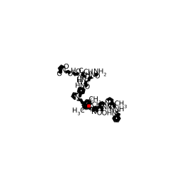 Cc1c(Nc2nc3ccccc3s2)nnc2c1CCCN2c1ccc(-c2cnn(CC34CC5(CCC[N+]6(Cc7ccc(NC(=O)[C@H](CCCNC(N)=O)NC(=O)[C@@H](NC(=O)CCOCCN8C(=O)C=CC8=O)C(C)C)cc7)CCCC6)C[C@@](C)(C3)C[C@](C)(C5)C4)c2C)c(C(=O)O)n1